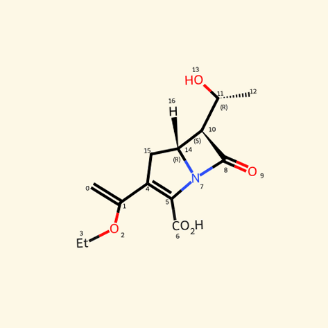 C=C(OCC)C1=C(C(=O)O)N2C(=O)[C@H]([C@@H](C)O)[C@H]2C1